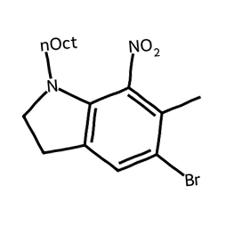 CCCCCCCCN1CCc2cc(Br)c(C)c([N+](=O)[O-])c21